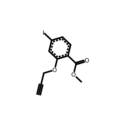 C#CCOc1cc(I)ccc1C(=O)OC